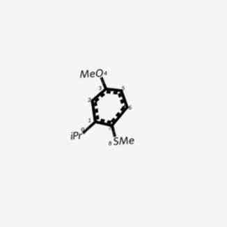 [CH2]C(C)c1cc(OC)ccc1SC